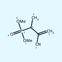 C=C(C#N)C(C)P(=O)(OC)OC